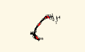 CNC(=O)c1c(-c2ccc(F)cc2)oc2cc(NCCOCCOCCOCCOCCOCc3ccc(C(=O)/C=C(\O)C(=O)O)cc3)c(C3CC3)cc12